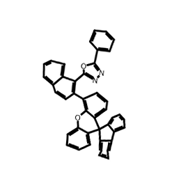 c1ccc(-c2nnc(-c3c(-c4cccc5c4Oc4ccccc4C54c5ccccc5-c5ccccc54)ccc4ccccc34)o2)cc1